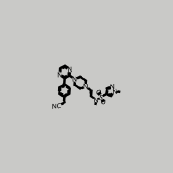 CN(CCN1CCN(c2nccnc2-c2ccc(CC#N)cc2)CC1)S(=O)(=O)c1cnn(C)c1